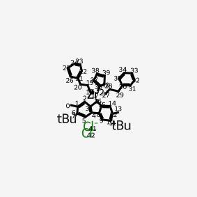 Cc1cc2c(cc1C(C)(C)C)-c1cc(C(C)(C)C)c(C)cc1[CH]2[Zr+2](=[CH]CCc1ccccc1)(=[CH]CCc1ccccc1)[C]1=CC=CC1.[Cl-].[Cl-]